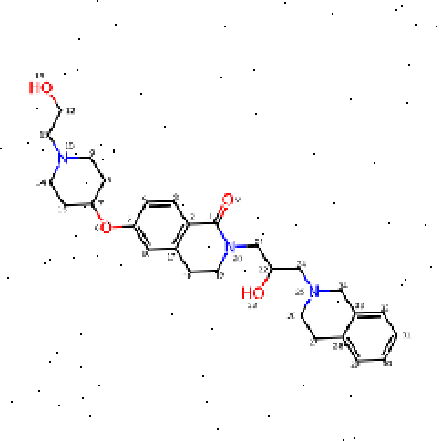 O=C1c2ccc(OC3CCN(CCO)CC3)cc2CCN1CC(O)CN1CCc2ccccc2C1